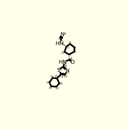 N#CN[C@@H]1CCC[C@H](C(=O)Nc2ncc(C3CCCCC3)s2)C1